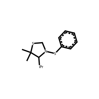 CC(C)C1N(Sc2ccccc2)CSC1(C)C